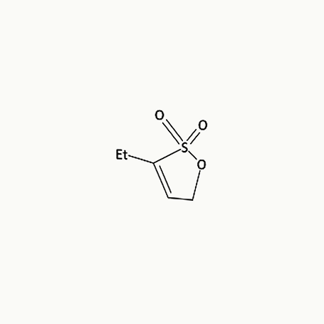 CCC1=CCOS1(=O)=O